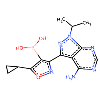 CC(C)n1nc(-c2noc(C3CC3)c2B(O)O)c2c(N)ncnc21